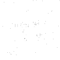 CCCC(=O)[O-].C[n+]1cc[nH]c1